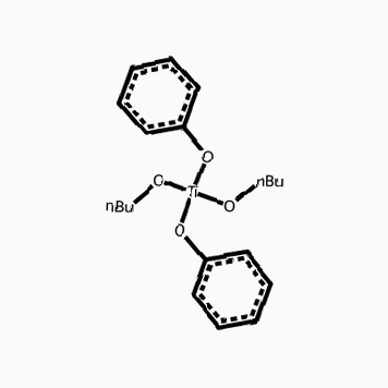 CCCC[O][Ti]([O]CCCC)([O]c1ccccc1)[O]c1ccccc1